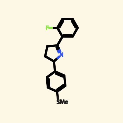 CSc1ccc(C2CCC(c3ccccc3F)=N2)cc1